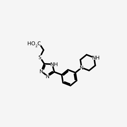 O=C(O)CSc1nnc(-c2cccc(N3CCNCC3)c2)[nH]1